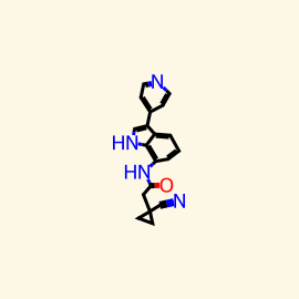 N#CC1(CC(=O)Nc2cccc3c(-c4ccncc4)c[nH]c23)CC1